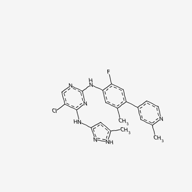 Cc1cc(-c2cc(F)c(Nc3ncc(Cl)c(Nc4cc(C)[nH]n4)n3)cc2C)ccn1